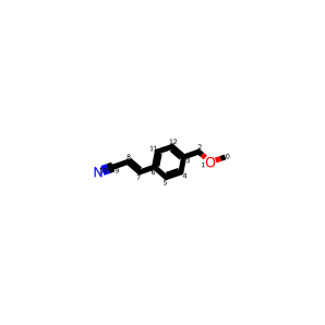 COCc1ccc(C=CC#N)cc1